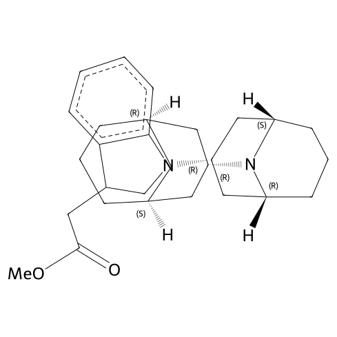 COC(=O)CC1CN([C@H]2C[C@H]3CCC[C@@H](C2)N3[C@H]2C[C@@H]3CCC[C@@H](C3)C2)c2ccccc21